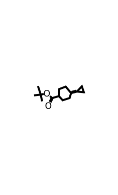 CC(C)(C)OC(=O)C1CCC(=C2CC2)CC1